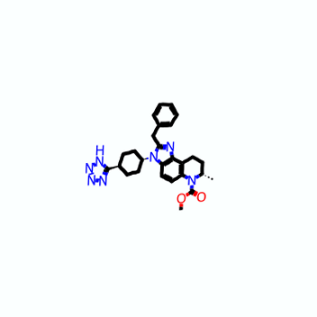 COC(=O)N1c2ccc3c(nc(Cc4ccccc4)n3[C@H]3CC[C@H](c4nnn[nH]4)CC3)c2CC[C@@H]1C